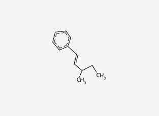 CCC(C)C=Cc1ccccc1